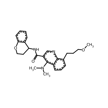 COCCCc1cccc2c(N(C)C)c(C(=O)NC3CCOc4ccccc43)cnc12